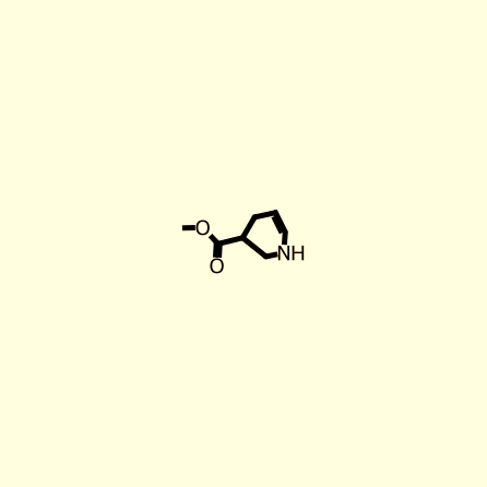 COC(=O)C1CC=CNC1